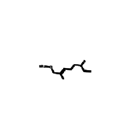 C=CC(C)CCC=C(C)COCCCC